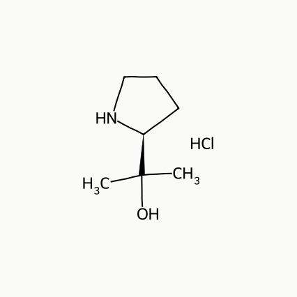 CC(C)(O)[C@@H]1CCCN1.Cl